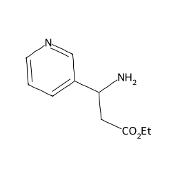 CCOC(=O)CC(N)c1cccnc1